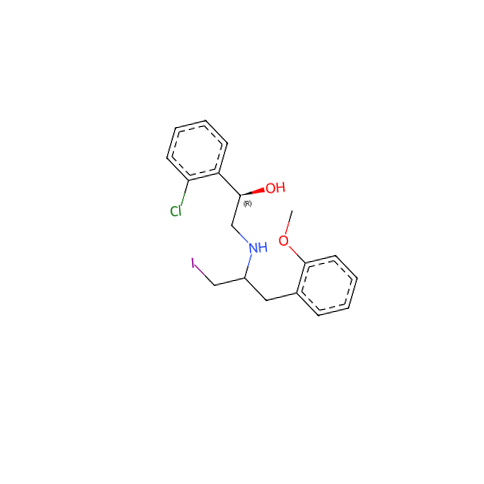 COc1ccccc1CC(CI)NC[C@H](O)c1ccccc1Cl